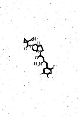 N#CC1(C(=O)N2C[C@@H]3CCN(C(=O)C[C@H](N)Cc4cc(F)c(F)cc4F)[C@@H]3C2)CC1